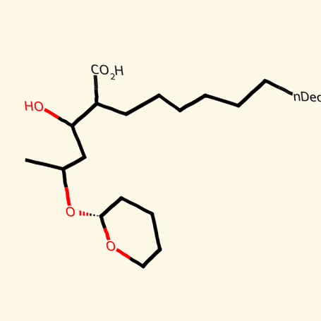 CCCCCCCCCCCCCCCCC(C(=O)O)C(O)CC(C)O[C@@H]1CCCCO1